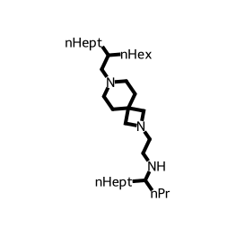 CCCCCCCC(CCCCCC)CN1CCC2(CC1)CN(CCNC(CCC)CCCCCCC)C2